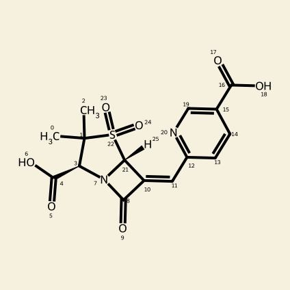 CC1(C)[C@H](C(=O)O)N2C(=O)/C(=C/c3ccc(C(=O)O)cn3)[C@H]2S1(=O)=O